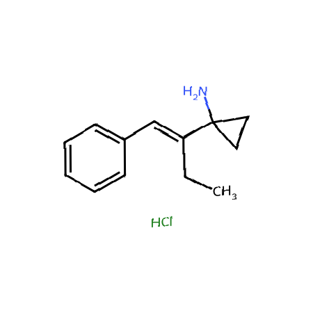 CC/C(=C\c1ccccc1)C1(N)CC1.Cl